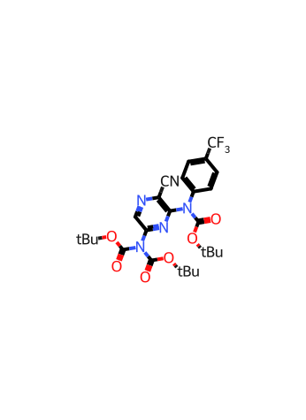 CC(C)(C)OC(=O)N(C(=O)OC(C)(C)C)c1cnc(C#N)c(N(C(=O)OC(C)(C)C)c2ccc(C(F)(F)F)cc2)n1